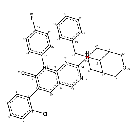 O=c1c(-c2ccccc2Cl)cc2cnc(NC3C4COCC3CN(Cc3ccccc3)C4)nc2n1-c1ccc(F)cc1